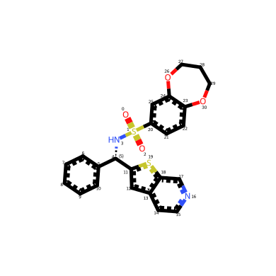 O=S(=O)(N[C@@H](c1ccccc1)c1cc2ccncc2s1)c1ccc2c(c1)OCCCO2